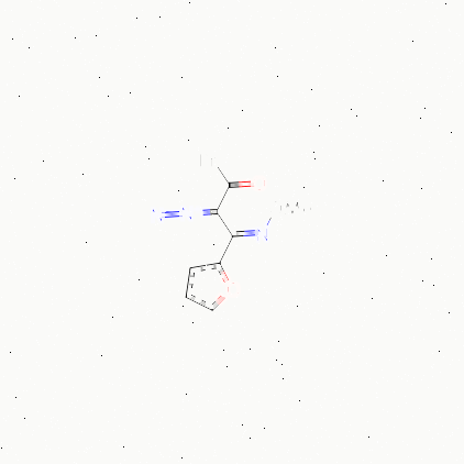 CO/N=C(\C(=[N+]=[N-])C(=O)C(C)C)c1ccco1